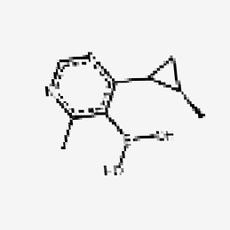 Cc1ncnc(C2C[C@H]2C)c1B(O)O